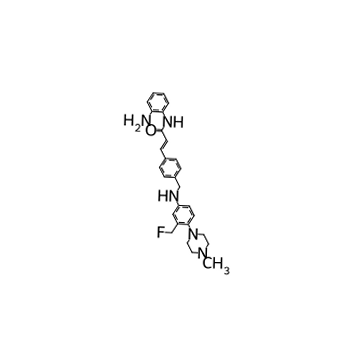 CN1CCN(c2ccc(NCc3ccc(/C=C/C(=O)Nc4ccccc4N)cc3)cc2CF)CC1